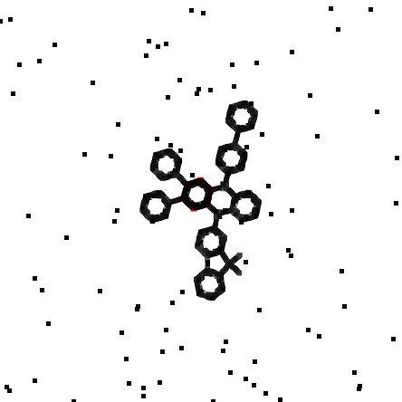 CC1(C)c2ccccc2-c2ccc(N(c3ccc(-c4ccccc4)cc3)c3ccccc3N(c3ccc(-c4ccccc4)cc3)c3ccc(-c4ccccc4)cc3)cc21